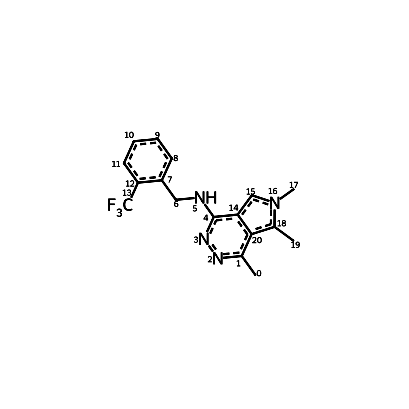 Cc1nnc(NCc2ccccc2C(F)(F)F)c2cn(C)c(C)c12